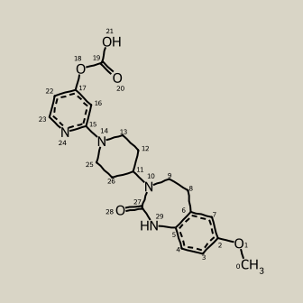 COc1ccc2c(c1)CCN(C1CCN(c3cc(OC(=O)O)ccn3)CC1)C(=O)N2